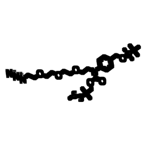 CSSC(C)(C)COC(=O)N(CCOCCOCCOCCN=[N+]=[N-])c1ccc(CO[Si](C)(C)C(C)(C)C)cc1